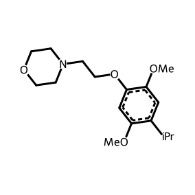 COc1cc(C(C)C)c(OC)cc1OCCN1CCOCC1